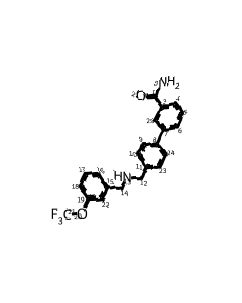 NC(=O)c1cccc(-c2ccc(CNCc3cccc(OC(F)(F)F)c3)cc2)c1